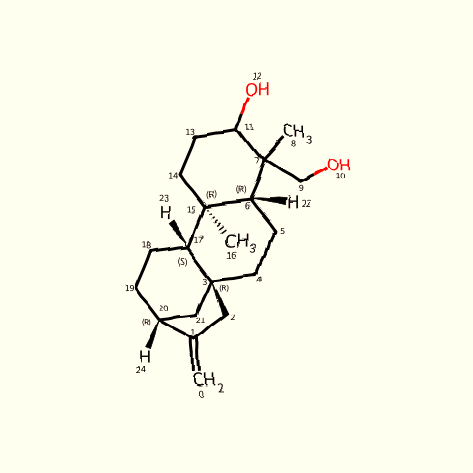 C=C1C[C@]23CC[C@H]4C(C)(CO)C(O)CC[C@]4(C)[C@H]2CC[C@@H]1C3